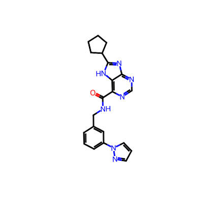 O=C(NCc1cccc(-n2cccn2)c1)c1ncnc2nc(C3CCCC3)[nH]c12